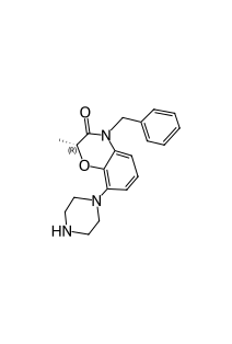 C[C@H]1Oc2c(N3CCNCC3)cccc2N(Cc2ccccc2)C1=O